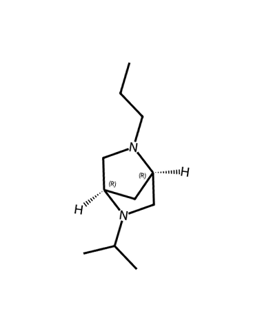 CCCN1C[C@H]2C[C@@H]1CN2C(C)C